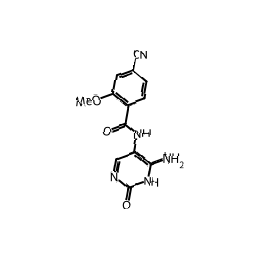 COc1cc(C#N)ccc1C(=O)Nc1cnc(=O)[nH]c1N